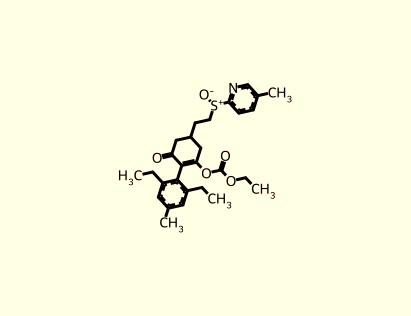 CCOC(=O)OC1=C(c2c(CC)cc(C)cc2CC)C(=O)CC(CC[S+]([O-])c2ccc(C)cn2)C1